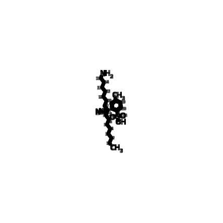 CCCCCCCCCCCCCCCCN.Cc1ccc(S(=O)(=O)O)cc1.N.N